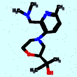 Cc1ccc(N2CCO[C@H](C(C)(C)O)C2)c(CN(C)C)n1